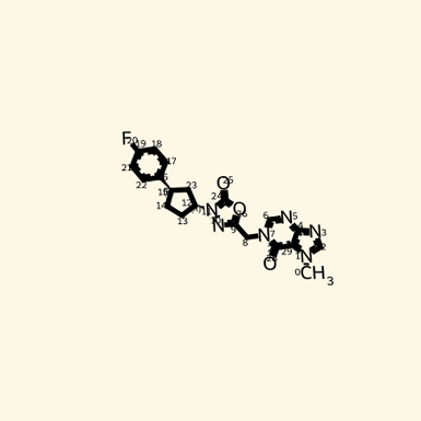 Cn1cnc2ncn(Cc3nn([C@@H]4CC[C@@H](c5ccc(F)cc5)C4)c(=O)o3)c(=O)c21